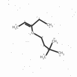 CC=C(CC)OCCC(C)(C)C